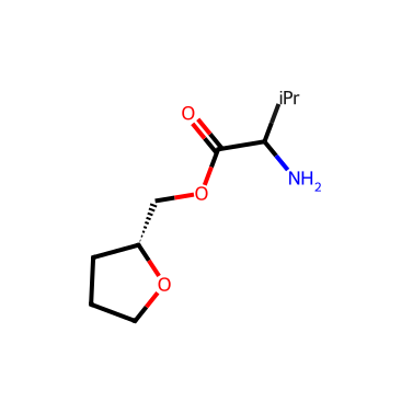 CC(C)C(N)C(=O)OC[C@H]1CCCO1